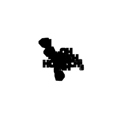 CC(C)(C)OC(=O)N[C@@H](Cc1ccccc1)[C@@H](O)CN(Cc1ccc(-c2ccccn2)cc1)NC(=O)O